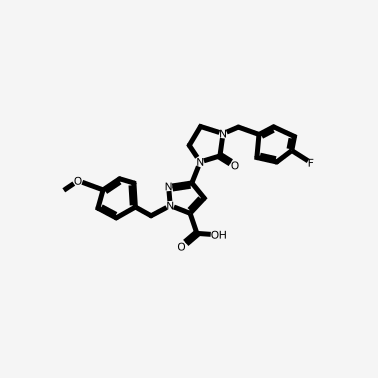 COc1ccc(Cn2nc(N3CCN(Cc4ccc(F)cc4)C3=O)cc2C(=O)O)cc1